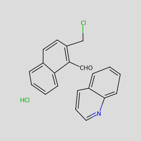 Cl.O=Cc1c(CCl)ccc2ccccc12.c1ccc2ncccc2c1